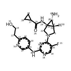 N[C@@H]1[C@@H]2CN(c3nc(Nc4ccc(CCO)nc4)ncc3F)C[C@]12NC(=O)C1CC1